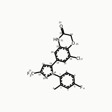 Cc1cc(F)ccc1-n1nc(C(F)(F)F)cc1-c1cc(Cl)c2c(c1)NC(=O)CO2